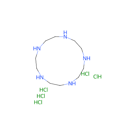 C1CNCCNCCNCCNCCN1.Cl.Cl.Cl.Cl.Cl